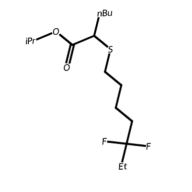 CCCCC(SCCCCC(F)(F)CC)C(=O)OC(C)C